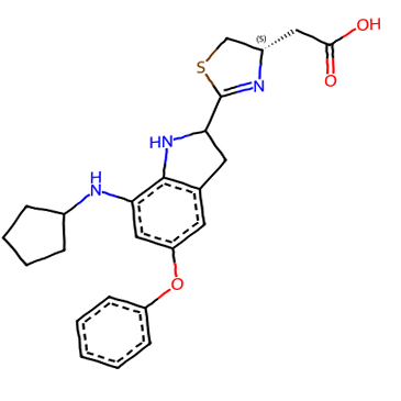 O=C(O)C[C@H]1CSC(C2Cc3cc(Oc4ccccc4)cc(NC4CCCC4)c3N2)=N1